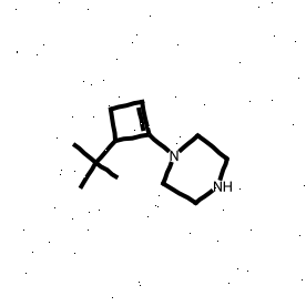 CC(C)(C)C1CC=C1N1CCNCC1